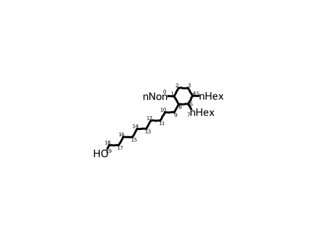 CCCCCCCCCC1CCC(CCCCCC)C(CCCCCC)C1CCCCCCCCCCO